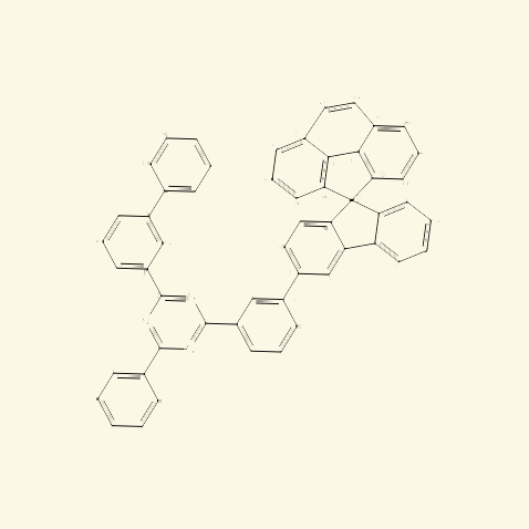 c1ccc(-c2cccc(-c3nc(-c4ccccc4)nc(-c4cccc(-c5ccc6c(c5)-c5ccccc5C65c6cccc7ccc8cccc5c8c67)c4)n3)c2)cc1